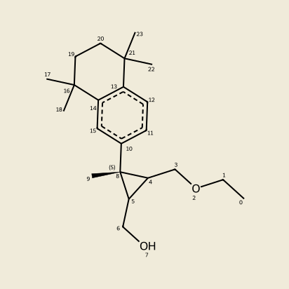 CCOCC1C(CO)[C@]1(C)c1ccc2c(c1)C(C)(C)CCC2(C)C